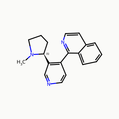 CN1CCC[C@H]1c1cnccc1-c1nccc2ccccc12